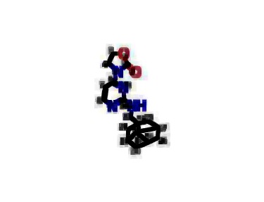 O=C1OCCN1c1ccnc(NCC23CC4CC(CC(C4)C2)C3)n1